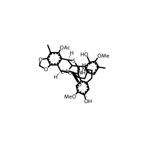 COc1cc2c(cc1O)CCN[C@]21CS[C@@H]2c3c(OC(C)=O)c(C)c4c(c3[C@H](COC1=O)N1CC3Cc5cc(C)c(OC)c(O)c5C(N3)C21)OCO4